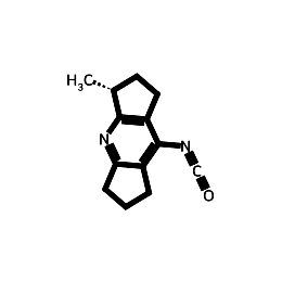 C[C@@H]1CCc2c1nc1c(c2N=C=O)CCC1